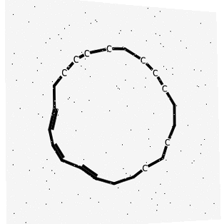 [C]1=C/C=C\C=C\CCCCCCCCCCCCCCCC/1